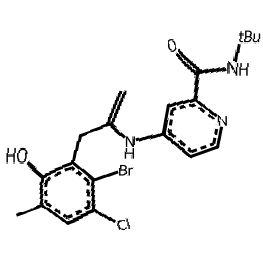 C=C(Cc1c(O)c(C)cc(Cl)c1Br)Nc1ccnc(C(=O)NC(C)(C)C)c1